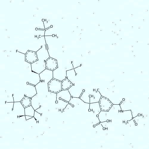 Cc1cc(C(=O)NCP(C)(C)=O)cc(OP(=O)(O)O)c1C(C)(C)CC(=O)N(c1nn(CC(F)(F)F)c2c(-c3ccc(C#CC(C)(C)S(C)(=O)=O)nc3[C@H](Cc3cc(F)cc(F)c3)NC(=O)Cn3nc(C(F)(F)F)c4c3C(F)(F)[C@@H]3C[C@H]43)ccc(Cl)c12)S(C)(=O)=O